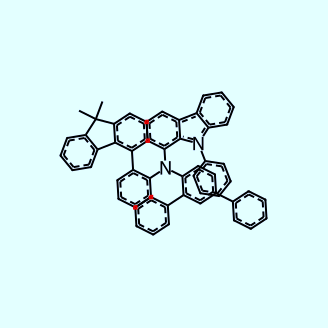 CC1(C)c2ccccc2-c2c(-c3ccccc3N(c3ccc(-c4ccccc4)cc3-c3ccccc3)c3cccc4c5ccccc5n(-c5ccccc5)c34)cccc21